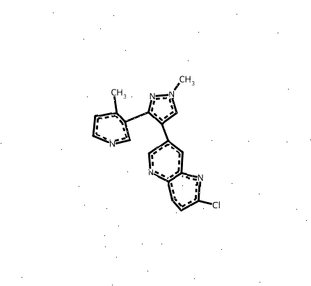 Cc1ccncc1-c1nn(C)cc1-c1cnc2ccc(Cl)nc2c1